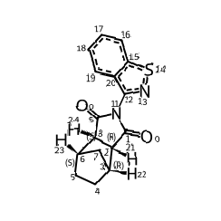 O=C1[C@@H]2[C@@H]3CC[C@@H](C3)[C@@H]2C(=O)N1c1nsc2ccccc12